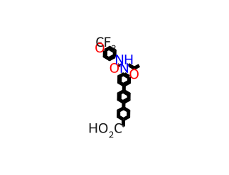 CC1CN(C(=O)Nc2ccc(OC(F)(F)F)cc2)c2ccc(-c3ccc(C4CCC(CC(=O)O)CC4)cc3)cc2O1